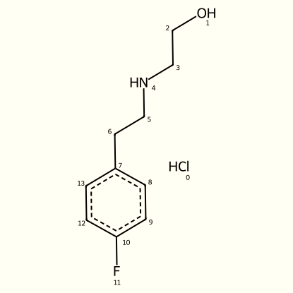 Cl.OCCNCCc1ccc(F)cc1